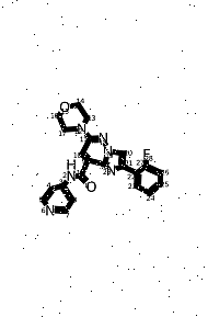 O=C(Nc1ccncc1)c1cc(N2CCOCC2)nn2cc(-c3ccccc3F)nc12